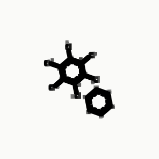 Clc1c(Cl)c(Cl)c(Cl)c(Cl)c1Cl.c1ccccc1